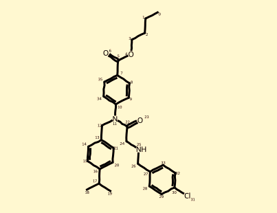 CCCCOC(=O)c1ccc(N(Cc2ccc(C(C)C)cc2)C(=O)CNCc2ccc(Cl)cc2)cc1